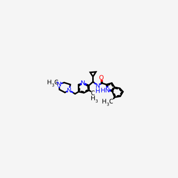 Cc1cc(CN2CCN(C)CC2)cnc1C(NC(=O)c1cc2cccc(C)c2[nH]1)C1CC1